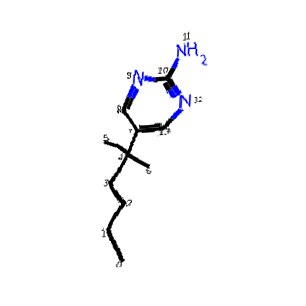 CCCCC(C)(C)c1cnc(N)nc1